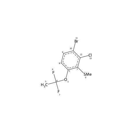 CSc1c(OC(C)(F)F)ccc(Br)c1Cl